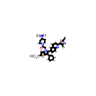 CCN(CC)C1CCN(C(=O)Cn2c(-c3ccc4nc(-c5sc(C)nc5C)ccc4c3)c(C3CCCCC3)c3sc(C(=O)O)cc32)CC1